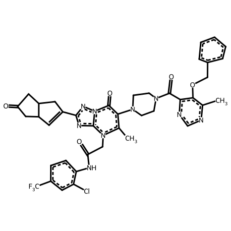 Cc1ncnc(C(=O)N2CCN(c3c(C)n(CC(=O)Nc4ccc(C(F)(F)F)cc4Cl)c4nc(C5=CC6CC(=O)CC6C5)nn4c3=O)CC2)c1OCc1ccccc1